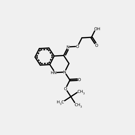 CC(C)(C)OC(=O)N1C/C(=N\OCC(=O)O)c2ccccc2N1